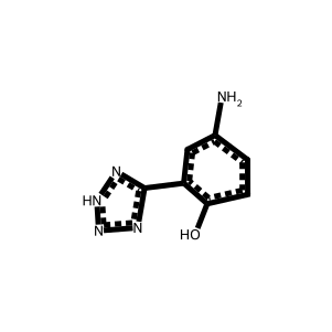 Nc1ccc(O)c(-c2nn[nH]n2)c1